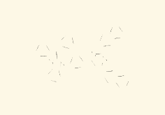 c1ccc(-c2c3ccccc3n3c4ccccc4n(-c4ccc(-c5cc(-c6ccc7ccccc7c6)nc(-c6ccc7ccccc7c6)n5)cc4)c23)cc1